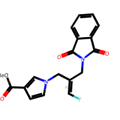 COC(=O)c1ccn(C/C(=C/F)CN2C(=O)c3ccccc3C2=O)c1